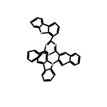 c1ccc(-c2nc(-c3cc4ccccc4cc3-n3c4ccccc4c4ccccc43)nc(-c3cccc4c3sc3ccccc34)n2)cc1